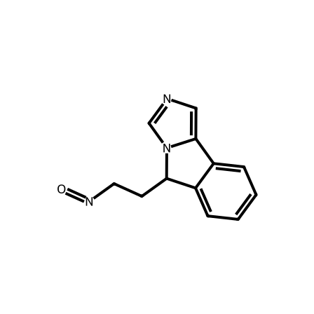 O=NCCC1c2ccccc2-c2cncn21